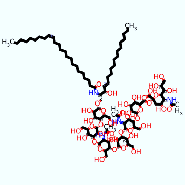 CCCCCCCC/C=C\CCCCCCCCCCCCCC(=O)N[C@@H](CO[C@@H]1OC(CO)[C@@H](O[C@@H]2OC(CO)[C@H](O)[C@H](O[C@@H]3OC(CO)[C@@H](O[C@@H]4OC(CO)[C@H](O)[C@H](O[C@@H]5OC(CO)[C@@H](O[C@@H]6OC(CO[C@]7(C(=O)O)CC(O)[C@@H](NC(C)=O)C([C@H](O)[C@H](O)CO)O7)[C@H](O)[C@H](O)C6O)[C@H](O)C5NC(C)=O)C4O)[C@H](O)C3NC(C)=O)C2O)[C@H](O)C1O)[C@H](O)/C=C/CCCCCCCCCCCCC